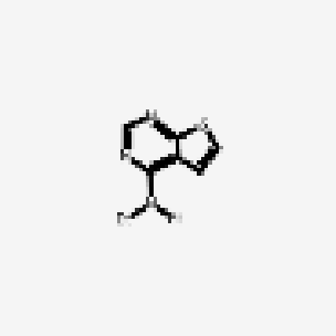 CCN(CC)c1ncnc2sccc12